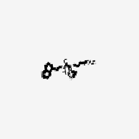 CC(=O)CCCCC[C@@H](C(=O)NCCc1cccc2ccccc12)N1C=CSC1